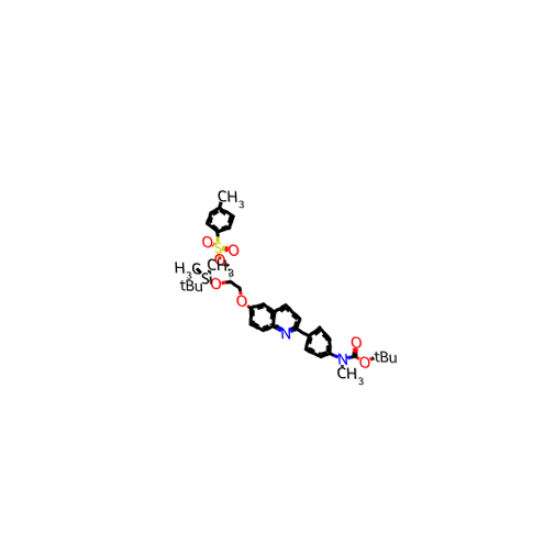 Cc1ccc(S(=O)(=O)OC[C@H](COc2ccc3nc(-c4ccc(N(C)C(=O)OC(C)(C)C)cc4)ccc3c2)O[Si](C)(C)C(C)(C)C)cc1